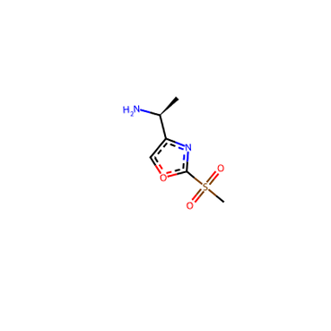 C[C@H](N)c1coc(S(C)(=O)=O)n1